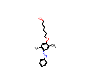 Cc1cc(OCCCCCCO)c(C)cc1N=Nc1ccccc1